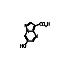 O=C(O)c1cnn2cc(O)cnc12